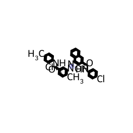 Cc1ccc(NC(=O)c2ccc(C)c(/N=N/c3c(O)c(C(=O)Nc4ccc(Cl)cc4)cc4ccccc34)c2)c(C)c1